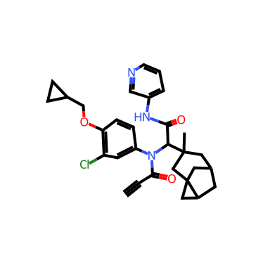 C#CC(=O)N(c1ccc(OCC2CC2)c(Cl)c1)C(C(=O)Nc1cccnc1)C1(C)CC2CC3CC3(C2)C1